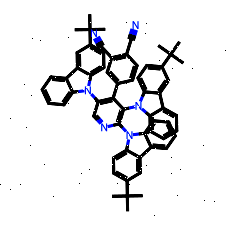 CC(C)(C)c1ccc2c(c1)c1ccccc1n2-c1cnc(-n2c3ccccc3c3cc(C(C)(C)C)ccc32)c(-n2c3ccccc3c3cc(C(C)(C)C)ccc32)c1-c1ccc(C#N)c(C#N)c1